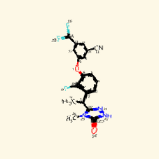 CC(c1cccc(Oc2cc(C#N)cc(C(F)F)c2)c1F)c1n[nH]c(=O)n1C